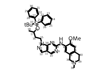 COc1cc2c(cc1Nc1ncc3cnn(CCC(C)O[Si](c4ccccc4)(c4ccccc4)C(C)(C)C)c3n1)CN(C)CC2